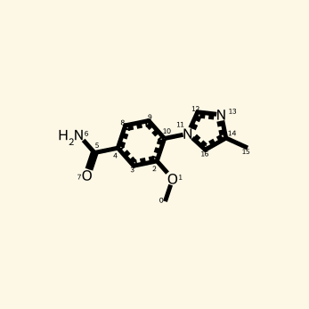 COc1cc(C(N)=O)ccc1-n1cnc(C)c1